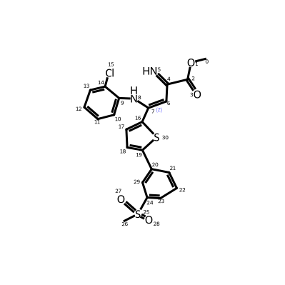 COC(=O)C(=N)/C=C(\Nc1ccccc1Cl)c1ccc(-c2cccc(S(C)(=O)=O)c2)s1